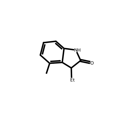 CCC1C(=O)Nc2cccc(C)c21